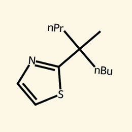 CCCCC(C)(CCC)c1nccs1